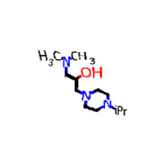 CC(C)N1CCN(CC(O)CN(C)C)CC1